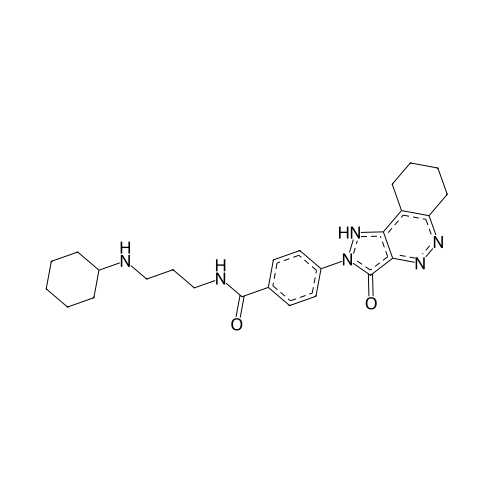 O=C(NCCCNC1CCCCC1)c1ccc(-n2[nH]c3c4c(nnc3c2=O)CCCC4)cc1